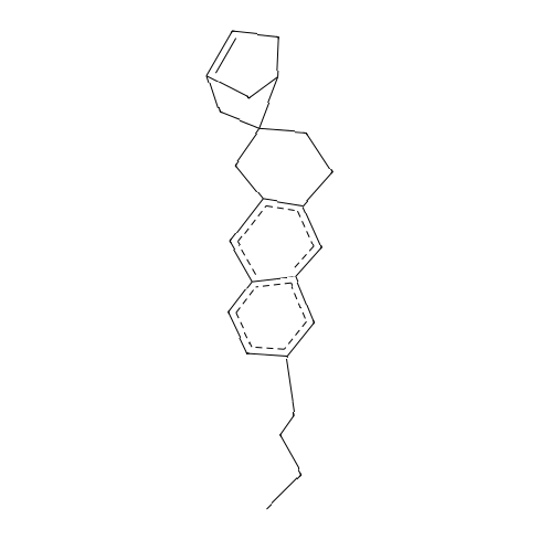 CCCCc1ccc2cc3c(cc2c1)CCC1(CC2=CCC1C2)C3